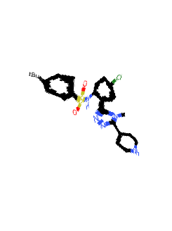 Cn1c(-c2cc(Cl)ccc2NS(=O)(=O)c2ccc(C(C)(C)C)cc2)nnc1C1CCNCC1